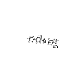 CC[C@]1(CC#N)CC[C@@H](NCc2ccc(-c3ccccc3)cc2)CC1